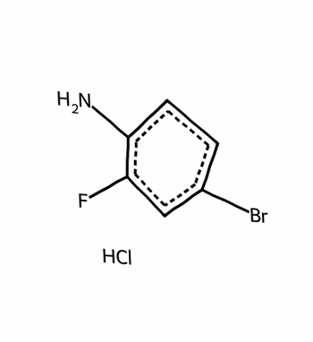 Cl.Nc1ccc(Br)cc1F